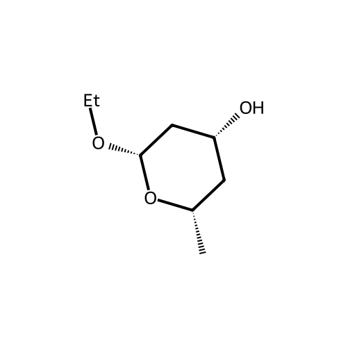 CCO[C@@H]1C[C@H](O)C[C@H](C)O1